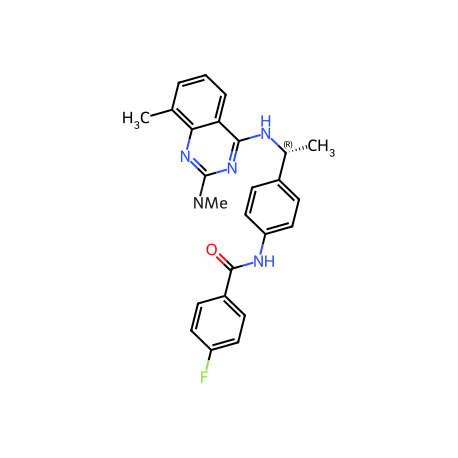 CNc1nc(N[C@H](C)c2ccc(NC(=O)c3ccc(F)cc3)cc2)c2cccc(C)c2n1